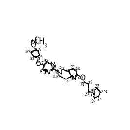 COc1ccc(Oc2cnc(N3CCc4nc(OCCCN5CCCC5)ccc4C3)nc2)cc1